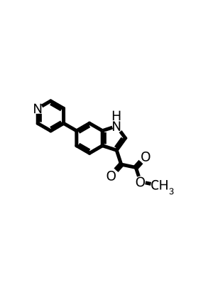 COC(=O)C(=O)c1c[nH]c2cc(-c3ccncc3)ccc12